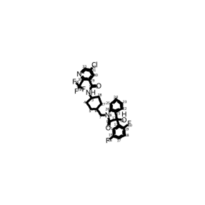 O=C(NC1CCC(CN2C(=O)C(O)(c3cc(F)ccc3F)c3ccccc32)CC1)c1cc(Cl)cnc1C(F)(F)F